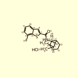 CC1(C)[C@@H](NC(=O)c2cc3cccc(F)c3s2)C2CCN1CC2.Cl